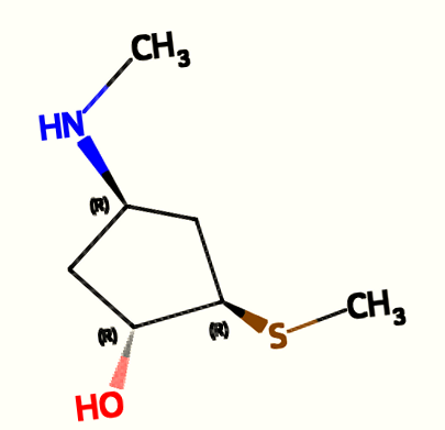 CN[C@@H]1C[C@@H](O)[C@H](SC)C1